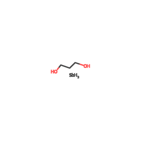 OCCCO.[SbH3]